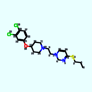 CCCSC1=NCN(CCN2CCC(Oc3ccc(Cl)c(Cl)c3)CC2)C=C1